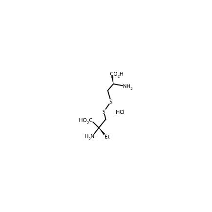 CC[C@](N)(CSSC[C@H](N)C(=O)O)C(=O)O.Cl